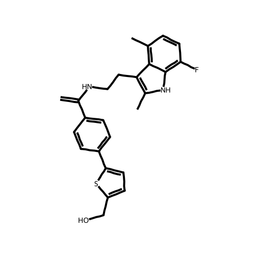 C=C(NCCc1c(C)[nH]c2c(F)ccc(C)c12)c1ccc(-c2ccc(CO)s2)cc1